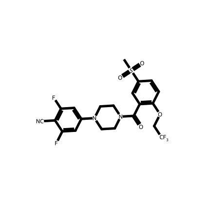 CS(=O)(=O)c1ccc(OCC(F)(F)F)c(C(=O)N2CCN(c3cc(F)c(C#N)c(F)c3)CC2)c1